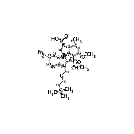 COc1cc(C)c2c(ccn2C(=O)O)c1C(C)(OC)c1nc2cc(C#N)cnc2n1COCC[Si](C)(C)C